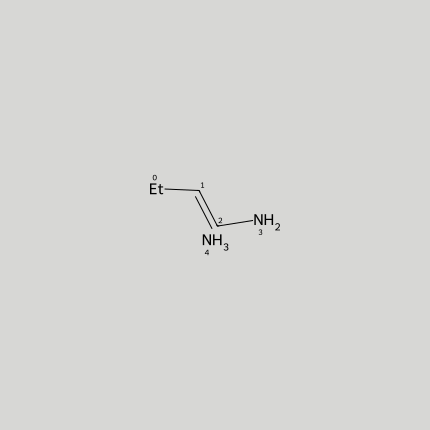 CCC=CN.N